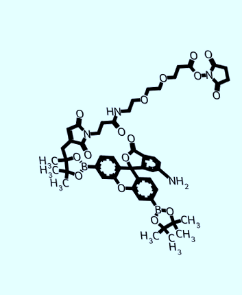 CC1(C)OB(c2ccc3c(c2)Oc2cc(B4OC(C)(C)C(C)(CC5=CC(=O)N(CCC(=O)NCCOCCOCCC(=O)ON6C(=O)CCC6=O)C5=O)O4)ccc2C32OC(=O)c3ccc(N)cc32)OC1(C)C